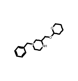 c1ccc(CN2CCNC(COC3CCCCO3)C2)cc1